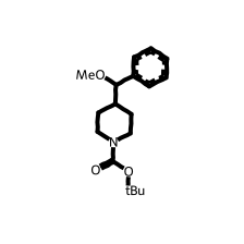 COC(c1ccccc1)C1CCN(C(=O)OC(C)(C)C)CC1